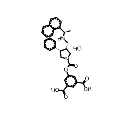 C[C@@H](NC[C@@H]1CN(C(=O)Oc2cc(C(=O)O)cc(C(=O)O)c2)C[C@@H]1c1ccccc1)c1cccc2ccccc12.Cl